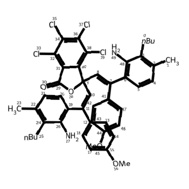 CCCCc1c(C)ccc(C(=CC2(C=C(c3ccc(OC)cc3)c3ccc(C)c(CCCC)c3N)OC(=O)c3c(Cl)c(Cl)c(Cl)c(Cl)c32)c2ccc(OC)cc2)c1N